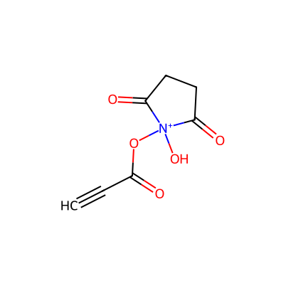 C#CC(=O)O[N+]1(O)C(=O)CCC1=O